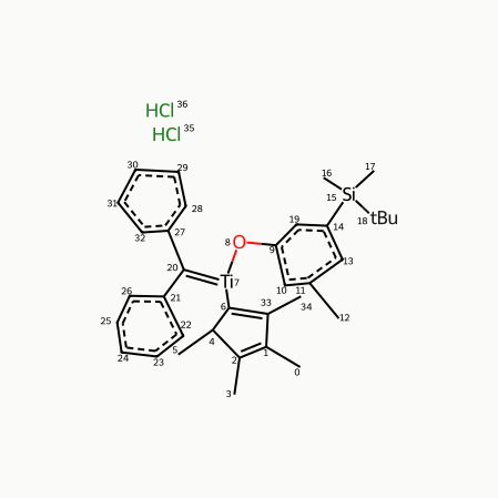 CC1=C(C)C(C)[C]([Ti]([O]c2cc(C)cc([Si](C)(C)C(C)(C)C)c2)=[C](c2ccccc2)c2ccccc2)=C1C.Cl.Cl